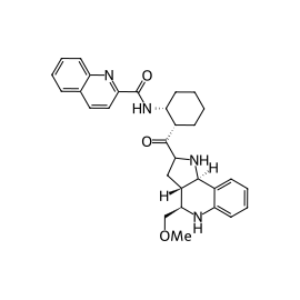 COC[C@@H]1Nc2ccccc2[C@@H]2NC(C(=O)[C@H]3CCCC[C@H]3NC(=O)c3ccc4ccccc4n3)C[C@@H]12